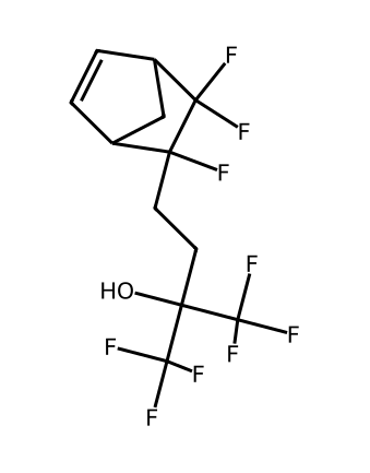 OC(CCC1(F)C2C=CC(C2)C1(F)F)(C(F)(F)F)C(F)(F)F